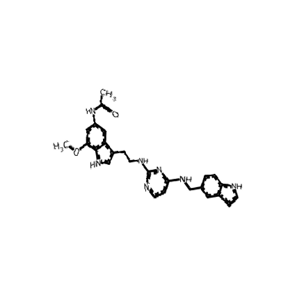 COc1cc(NC(C)=O)cc2c(CCNc3nccc(NCc4ccc5[nH]ccc5c4)n3)c[nH]c12